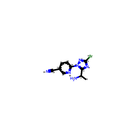 CC(N)c1nc(Br)nn1-c1ccc(C#N)cn1